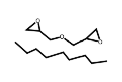 C(OCC1CO1)C1CO1.CCCCCCCCC